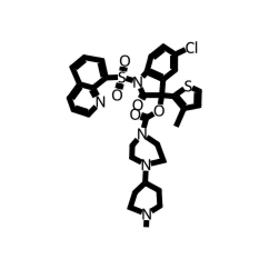 Cc1ccsc1C1(OC(=O)N2CCN(C3CCN(C)CC3)CC2)C(=O)N(S(=O)(=O)c2cccc3cccnc23)c2ccc(Cl)cc21